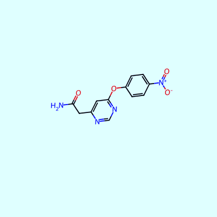 NC(=O)Cc1cc(Oc2ccc([N+](=O)[O-])cc2)ncn1